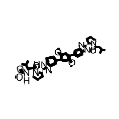 COC(=O)N[C@H](C(=O)N1CCC[C@H]1c1nc2cc(-c3cc(OC)c(-c4ccc5[nH]c([C@@H]6CCCN6C(=O)CC(C)C)nc5c4)cc3OC)ccc2[nH]1)C(C)C